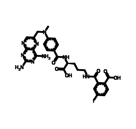 CN(Cc1cnc2nc(N)nc(N)c2n1)c1ccc(C(=O)N[C@@H](CCCNC(=O)c2cc(I)ccc2C(=O)O)C(=O)O)cc1